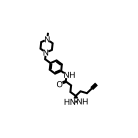 C#CCCC1(CCC(=O)Nc2ccc(CN3CCN(C)CC3)cc2)NN1